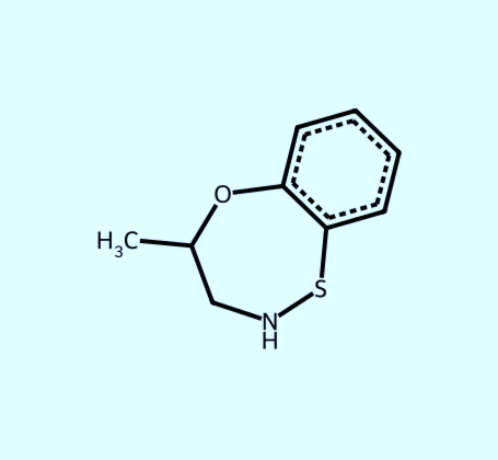 CC1CNSc2ccccc2O1